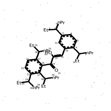 CCCC(CC)c1ccc(C(CC)CCC)c(C=C(O)C(=O)c2c(C(CC)CCC)ccc(C(CC)CCC)c2C(CC)CCC)c1